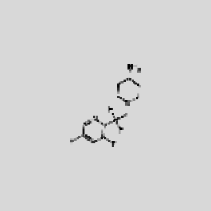 NC1CCN(CC(F)(F)c2ncc(F)cc2F)CC1